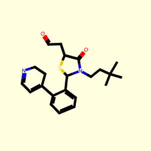 CC(C)(C)CCN1C(=O)C(CC=O)SC1c1ccccc1C1=CC=NCC1